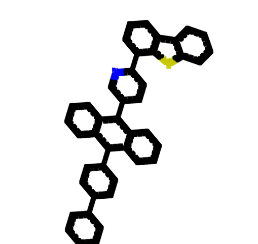 c1ccc(-c2ccc(-c3c4ccccc4c(-c4ccc(-c5cccc6c5sc5ccccc56)nc4)c4ccccc34)cc2)cc1